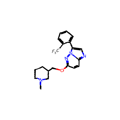 CN1CCCC(COc2ccc3ncc(-c4ccccc4C(F)(F)F)n3n2)C1